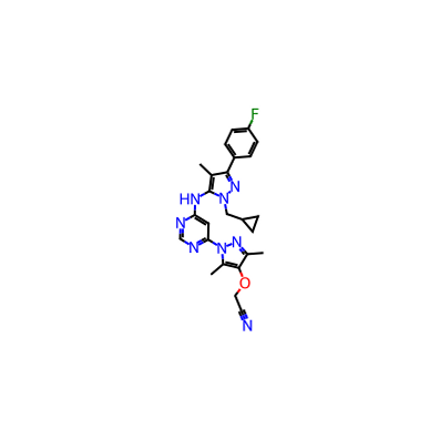 Cc1nn(-c2cc(Nc3c(C)c(-c4ccc(F)cc4)nn3CC3CC3)ncn2)c(C)c1OCC#N